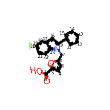 O=C(O)c1ccc(Cn2c(-c3ccccc3)cc3cc(F)ccc32)o1